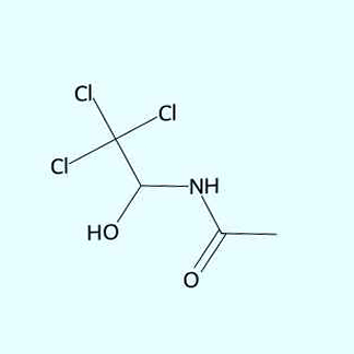 CC(=O)NC(O)C(Cl)(Cl)Cl